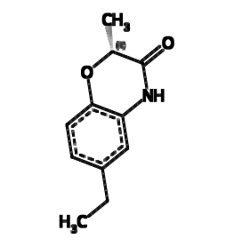 CCc1ccc2c(c1)NC(=O)[C@@H](C)O2